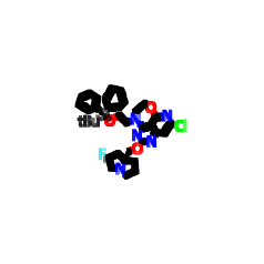 CC(C)(C)[Si](OCCN1CCOc2nc(Cl)cc3nc(OC[C@@]45CCCN4C[C@H](F)C5)nc1c23)(c1ccccc1)c1ccccc1